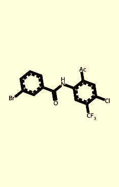 CC(=O)c1cc(Cl)c(C(F)(F)F)cc1NC(=O)c1cccc(Br)c1